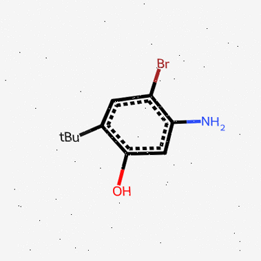 CC(C)(C)c1cc(Br)c(N)cc1O